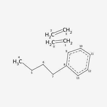 C=C.C=C.CCCCc1ccccc1